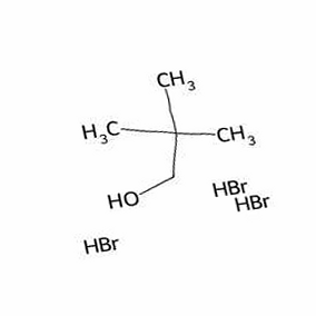 Br.Br.Br.CC(C)(C)CO